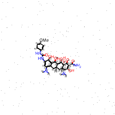 COc1ccc(NC(=O)Nc2cc(N(C)C)c3c(c2O)C(=O)C2=C(O)[C@@]4(O)C(=O)C(C(N)=O)=C(O)[C@H](N(C)C)[C@H]4C[C@H]2C3)cc1